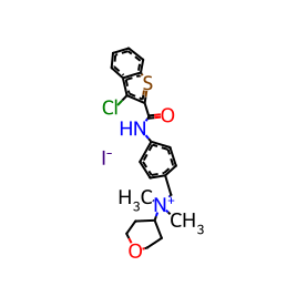 C[N+](C)(Cc1ccc(NC(=O)c2sc3ccccc3c2Cl)cc1)C1CCOCC1.[I-]